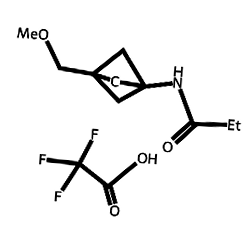 CCC(=O)NC12CC(COC)(C1)C2.O=C(O)C(F)(F)F